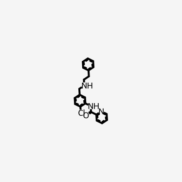 O=C(Nc1cc(CNCCc2ccccc2)ccc1Cl)c1ccccn1